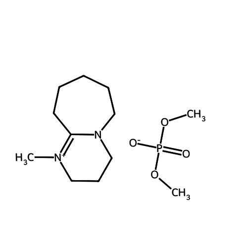 COP(=O)([O-])OC.C[N+]1=C2CCCCCN2CCC1